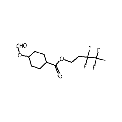 CC(F)(F)C(F)(F)CCOC(=O)C1CCC(OC=O)CC1